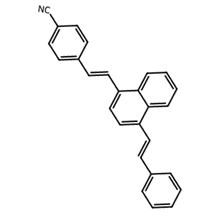 N#Cc1ccc(C=Cc2ccc(C=Cc3ccccc3)c3ccccc23)cc1